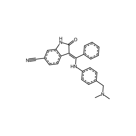 CN(C)Cc1ccc(NC(=C2C(=O)Nc3cc(C#N)ccc32)c2ccccc2)cc1